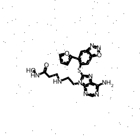 Nc1ncnc2c1nc(Sc1cc3onnc3cc1-c1ccco1)n2CCNCCC(=O)NO